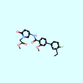 CCc1cc(-c2ccc(C(=O)Nc3ccc(=O)n(CC(=O)OC)c3)c(OC)c2)ccc1F